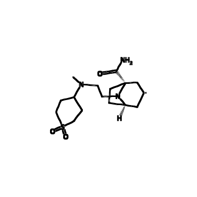 CN(CCN1[C@H]2C[CH]C[C@]1(C(N)=O)CC2)C1CCS(=O)(=O)CC1